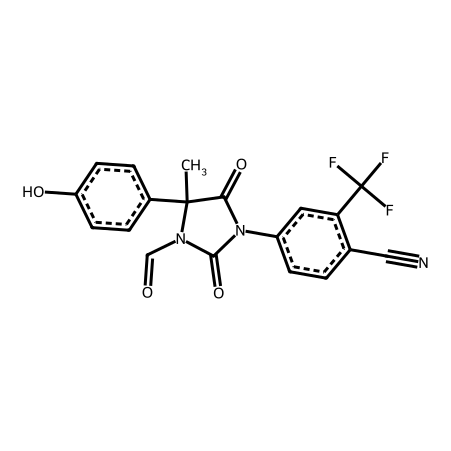 CC1(c2ccc(O)cc2)C(=O)N(c2ccc(C#N)c(C(F)(F)F)c2)C(=O)N1C=O